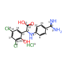 Cl.N=C(N)c1ccc(NC(C(=O)O)c2cc(Cl)cc(Cl)c2O)cc1